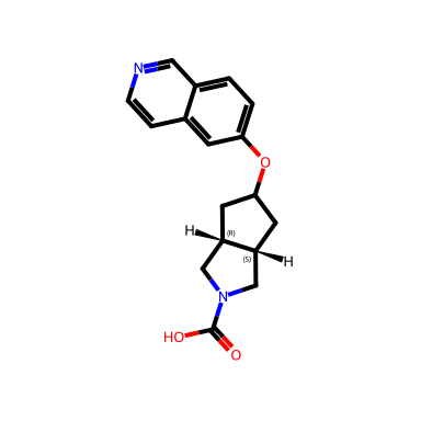 O=C(O)N1C[C@H]2CC(Oc3ccc4cnccc4c3)C[C@H]2C1